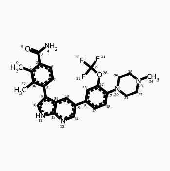 Cc1c(C(N)=O)ccc(-c2c[nH]c3ncc(-c4ccc(N5CCN(C)CC5)c(OC(F)(F)F)c4)cc23)c1C